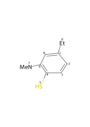 CCc1ccc(S)c(NC)c1